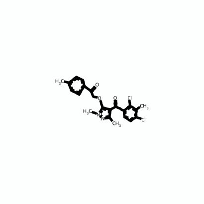 Cc1ccc(C(=O)COc2c(C(=O)c3ccc(Cl)c(C)c3Cl)c(C)nn2C)cc1